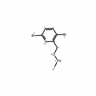 Brc1ccc(Br)c(COPI)n1